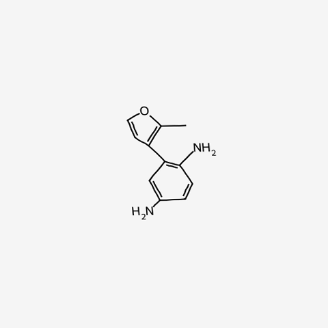 Cc1occc1-c1cc(N)ccc1N